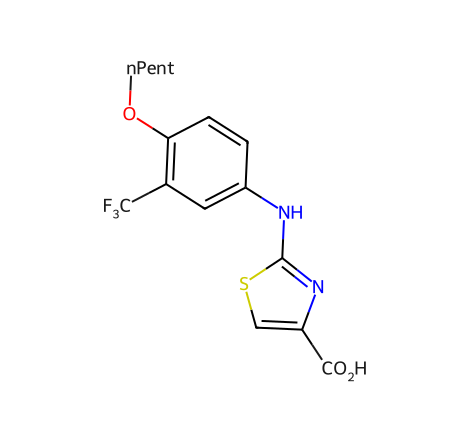 CCCCCOc1ccc(Nc2nc(C(=O)O)cs2)cc1C(F)(F)F